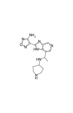 CC(NC1CCNCC1)c1cncc2nc(-c3nonc3N)[nH]c12